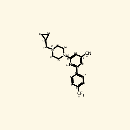 N#Cc1cc(-c2ccc(C(F)(F)F)cc2)nc(N2CCN(CC3CC3)CC2)c1